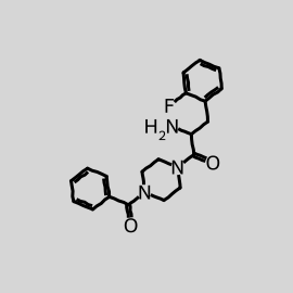 NC(Cc1ccccc1F)C(=O)N1CCN(C(=O)c2ccccc2)CC1